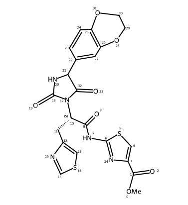 COC(=O)c1csc(NC(=O)[C@H](Cc2cscn2)N2C(=O)NC(c3ccc4c(c3)OCCO4)C2=O)n1